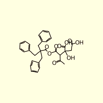 CC(=O)C(C(=O)OC(=O)C(Cc1ccccc1)(Cc1ccccc1)Cc1ccccc1)C(O)(CC(=O)O)C(=O)O